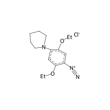 CCOc1cc(N2CCCCC2)c(OCC)cc1[N+]#N.[Cl-]